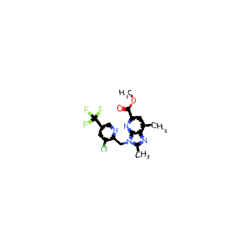 COC(=O)c1cc(C)c2nc(C)n(Cc3ncc(C(F)(F)F)cc3Cl)c2n1